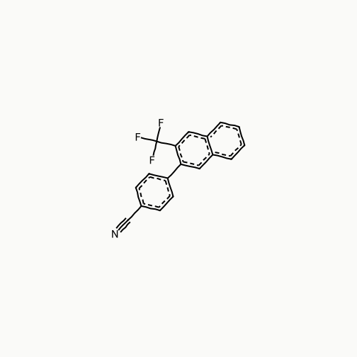 N#Cc1ccc(-c2cc3ccccc3cc2C(F)(F)F)cc1